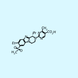 CCc1cc2nc3n(c2cc1S(C)(=O)=O)CCN(c1ncc(C(=O)O)c(C)n1)[C@H]3C(C)C